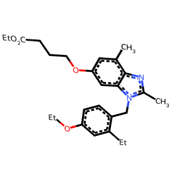 CCOC(=O)CCCOc1cc(C)c2nc(C)n(Cc3ccc(OCC)cc3CC)c2c1